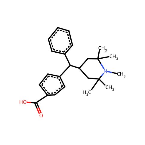 CN1C(C)(C)CC(C(c2ccccc2)c2ccc(C(=O)O)cc2)CC1(C)C